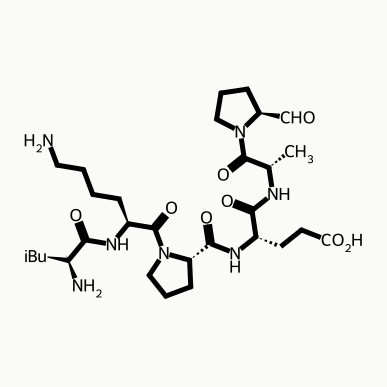 CC[C@H](C)[C@H](N)C(=O)N[C@@H](CCCCN)C(=O)N1CCC[C@H]1C(=O)N[C@@H](CCC(=O)O)C(=O)N[C@@H](C)C(=O)N1CCC[C@H]1C=O